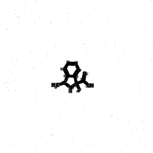 CN1NC(F)(C(=O)O)c2ccccc21